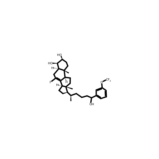 C[C@H](CCCC(O)c1cccc(OC(F)(F)F)c1)[C@H]1CC[C@H]2C3=C(F)C[C@H]4[C@@H](O)[C@@H](O)CC[C@]4(C)[C@H]3CC[C@]12C